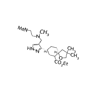 CCOC(=O)C1C[C@H](c2n[nH]cc2CN(C)CCNC)CC[C@@]12CC(C)(C)CO2